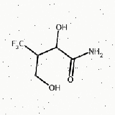 NC(=O)C(O)C(CO)C(F)(F)F